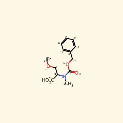 CC(C)OCC(C(=O)O)N(C)C(=O)OCc1ccccc1